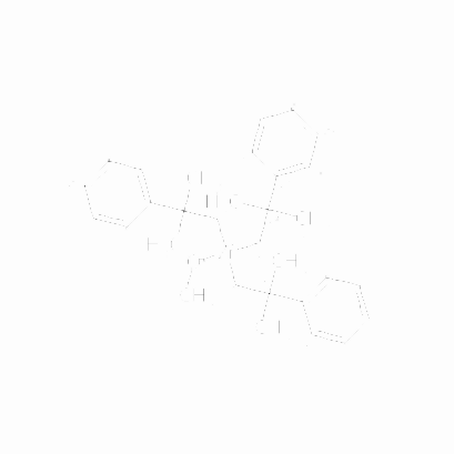 C[O][Zr]([CH2]C(C)(C)c1ccccc1)([CH2]C(C)(C)c1ccccc1)[CH2]C(C)(C)c1ccccc1